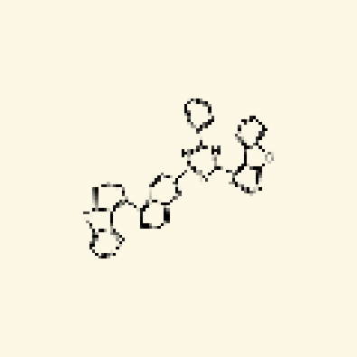 c1ccc(-c2nc(-c3ccc4c(-c5cccc6oc7ccccc7c56)cccc4c3)nc(-c3ccnc4oc5ccccc5c34)n2)cc1